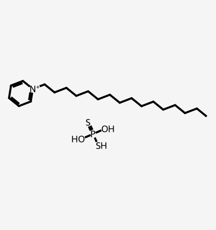 CCCCCCCCCCCCCCCC[n+]1ccccc1.OP(O)(=S)S